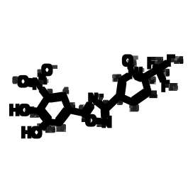 O=[N+]([O-])c1cc(-c2nc(-c3ccc(C(F)(F)F)[n+]([O-])c3)no2)cc(O)c1O